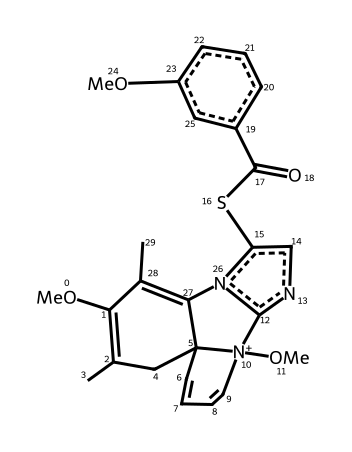 COC1=C(C)CC23C=CC=C[N+]2(OC)c2ncc(SC(=O)c4cccc(OC)c4)n2C3=C1C